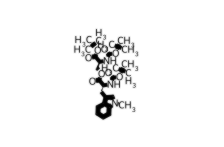 Cn1cc(C[C@@H](NC(=O)OC(C)(C)C)C(=O)OC[C@H](NC(=O)OC(C)(C)C)C(=O)OC(C)(C)C)c2ccccc21